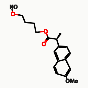 COc1ccc2cc([C@H](C)C(=O)OCCCCON=O)ccc2c1